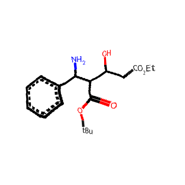 CCOC(=O)CC(O)C(C(=O)OC(C)(C)C)C(N)c1ccccc1